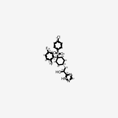 O=S(=O)(c1ccc(Cl)cc1)[C@]1(c2cc(F)ccc2F)CC[C@H](CC(O)c2ncn[nH]2)CC1